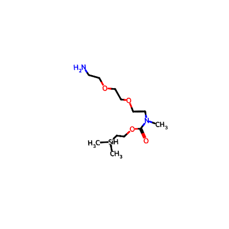 CN(CCOCCOCCN)C(=O)OCC[SiH](C)C